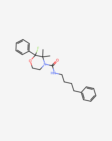 CC1(C)N(C(=O)NCCCCc2ccccc2)CCOC1(F)c1ccccc1